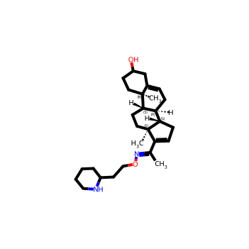 CC(=NOCCC1CCCCN1)C1=CC[C@H]2[C@@H]3CC=C4CC(O)CC[C@]4(C)[C@H]3CC[C@]12C